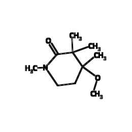 COC1(C)CCN(C)C(=O)C1(C)C